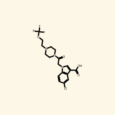 O=C(O)c1cn(CC(=O)N2CCN(CCOC(F)(F)F)CC2)c2ccc(Cl)cc12